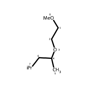 COCCOC(C)CC(C)C